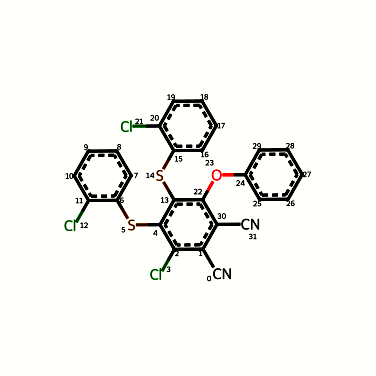 N#Cc1c(Cl)c(Sc2ccccc2Cl)c(Sc2ccccc2Cl)c(Oc2ccccc2)c1C#N